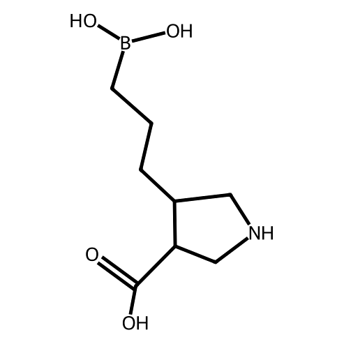 O=C(O)C1CNCC1CCCB(O)O